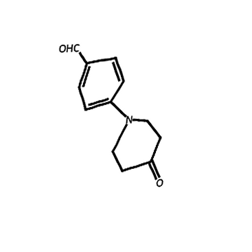 O=Cc1ccc(N2CCC(=O)CC2)cc1